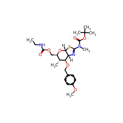 CCNC(=O)OC[C@H]1O[C@@H]2SC(N(C)C(=O)OC(C)(C)C)=N[C@@H]2[C@@H](OCc2ccc(OC)cc2)[C@@H]1C